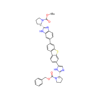 CC(C)(C)OC(=O)N1CCC[C@H]1c1nc2ccc(-c3ccc4c(c3)sc3cc(-c5cnc([C@@H]6CCCN6C(=O)OCc6ccccc6)[nH]5)ccc34)cc2[nH]1